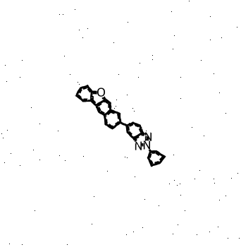 c1ccc(-n2nc3ccc(-c4ccc5cc6c(cc5c4)oc4ccccc46)cc3n2)cc1